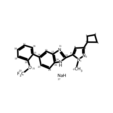 Cn1nc(C2CCC2)cc1-c1nc2cc(-c3ccccc3OC(F)(F)F)ccc2[nH]1.[NaH]